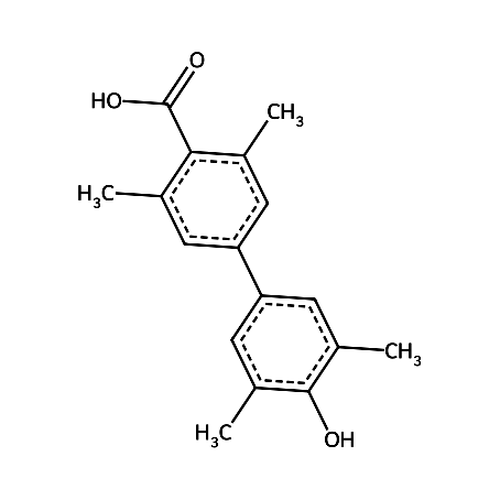 Cc1cc(-c2cc(C)c(C(=O)O)c(C)c2)cc(C)c1O